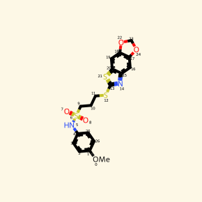 COc1ccc(NS(=O)(=O)CCCSc2nc3cc4c(cc3s2)OCO4)cc1